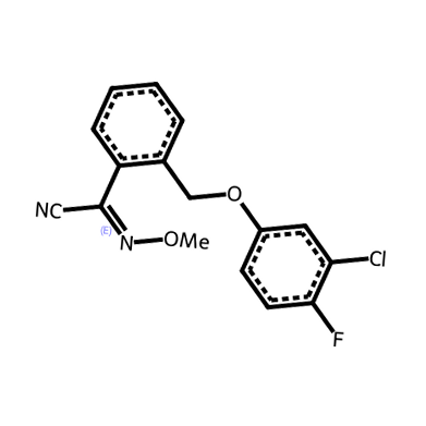 CO/N=C(/C#N)c1ccccc1COc1ccc(F)c(Cl)c1